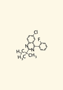 CC(C)(C)c1nc(-c2ccccc2F)c2cc(Cl)ccc2n1